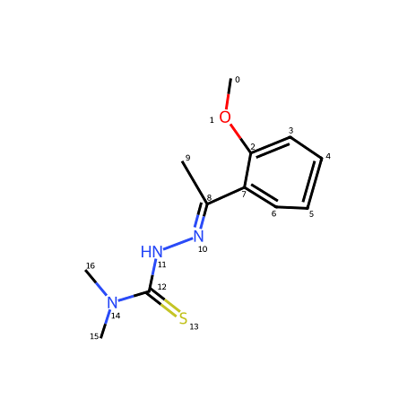 COc1ccccc1C(C)=NNC(=S)N(C)C